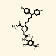 CC(=O)c1cc(Cl)c(NC(=O)CN2CCN(CCCCC(c3ccc(F)cc3)c3ccc(F)cc3)C(C(N)=O)C2)c(Cl)c1